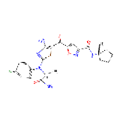 C[C@H](C(N)=O)N(c1ccc(F)cc1)c1nc(N)c(C(=O)c2cc(C(=O)NC3(C)CCCC3)no2)s1